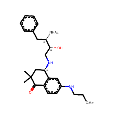 COCCNc1ccc2c(c1)[C@H](NC[C@@H](O)[C@H](Cc1ccccc1)NC(C)=O)CC(C)(C)C2=O